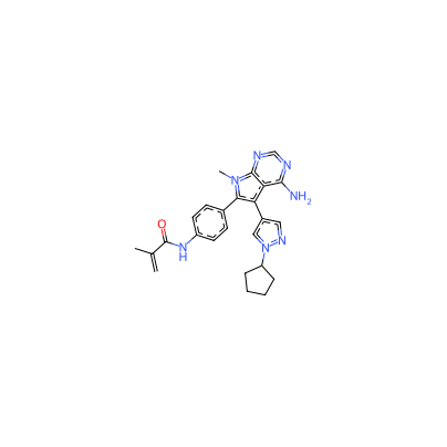 C=C(C)C(=O)Nc1ccc(-c2c(-c3cnn(C4CCCC4)c3)c3c(N)ncnc3n2C)cc1